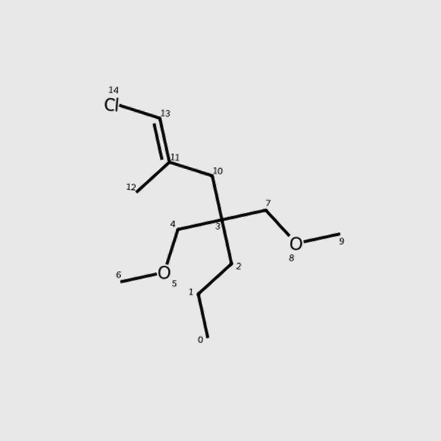 CCCC(COC)(COC)C/C(C)=C/Cl